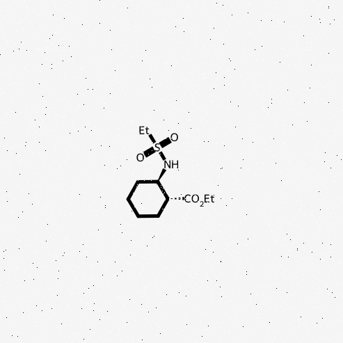 CCOC(=O)[C@@H]1CCCC[C@H]1NS(=O)(=O)CC